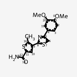 COc1ccc(-c2csc(-c3cc(C(N)=O)sc3C)n2)cc1OC